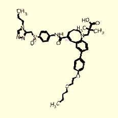 CCCCOCCOc1ccc(-c2ccc3c(c2)/C=C(/C(=O)Nc2ccc([S@@+]([O-])Cc4nncn4CCC)cc2)CCCN3CC(C)(C)C(=O)O)cc1